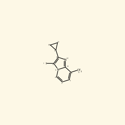 FC(F)(F)c1cccn2c(I)c(C3CC3)nc12